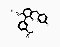 COc1ccc(Cc2ccc(F)cc2)c(N)c1-c1cccc(N(O)O)c1